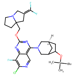 CC(C)(C)[Si](C)(C)OC1C[C@H]2CC1CN(c1nc(OCC34CCCN3CC(=C(F)F)C4)nc3c(F)c(Cl)ncc13)C2